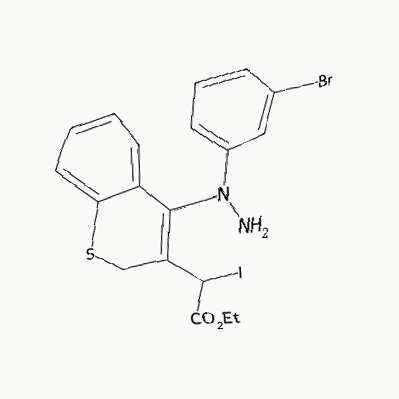 CCOC(=O)C(I)C1=C(N(N)c2cccc(Br)c2)c2ccccc2SC1